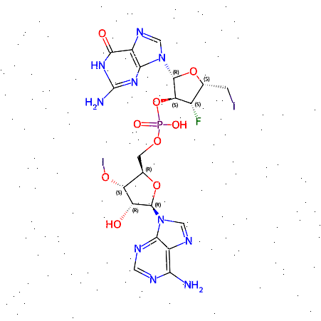 Nc1nc2c(ncn2[C@@H]2O[C@H](CI)[C@H](F)[C@H]2OP(=O)(O)OC[C@H]2O[C@@H](n3cnc4c(N)ncnc43)[C@H](O)[C@@H]2OI)c(=O)[nH]1